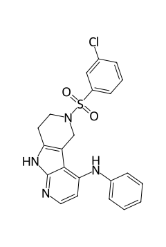 O=S(=O)(c1cccc(Cl)c1)N1CCc2[nH]c3nccc(Nc4ccccc4)c3c2C1